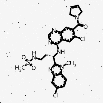 Cn1c([C@H](CCNS(C)(=O)=O)Nc2ncnc3cc(C(=O)N4CC=CC4)c(Cl)cc23)nc2cc(Cl)ccc21